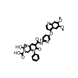 COc1cc2nccc(Oc3ccc(NC(=O)c4cc(Br)c(CN(C(=O)O)C(=O)O)n(-c5ccccc5)c4=O)nc3)c2cc1OC